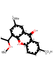 COc1cc(C(C)OC(C)(C)C)c2oc3ccc(C(=O)O)cc3c(=O)c2c1